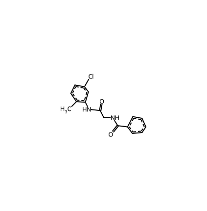 Cc1ccc(Cl)cc1NC(=O)CNC(=O)c1ccccc1